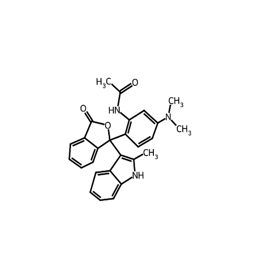 CC(=O)Nc1cc(N(C)C)ccc1C1(c2c(C)[nH]c3ccccc23)OC(=O)c2ccccc21